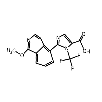 COc1nccc2c(-c3ncc(C(=O)O)n3C(F)(F)F)cccc12